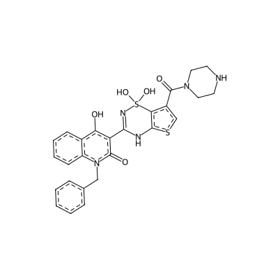 O=C(c1csc2c1S(O)(O)N=C(c1c(O)c3ccccc3n(Cc3ccccc3)c1=O)N2)N1CCNCC1